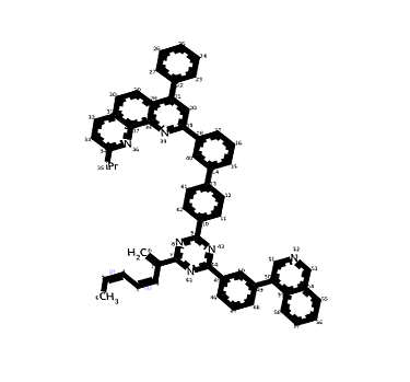 C=C(/C=C\C=C/C)c1nc(-c2ccc(-c3cccc(-c4cc(-c5ccccc5)c5ccc6ccc(C(C)C)nc6c5n4)c3)cc2)nc(-c2cccc(-c3cncc4ccccc34)c2)n1